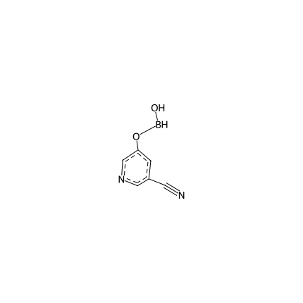 N#Cc1cncc(OBO)c1